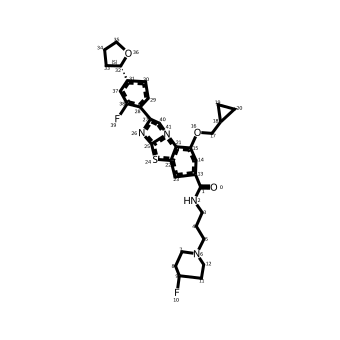 O=C(NCCCN1CCC(F)CC1)c1cc(OCC2CC2)c2c(c1)sc1nc(-c3ccc([C@@H]4CCCO4)cc3F)cn12